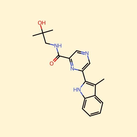 Cc1c(-c2cncc(C(=O)NCC(C)(C)O)n2)[nH]c2ccccc12